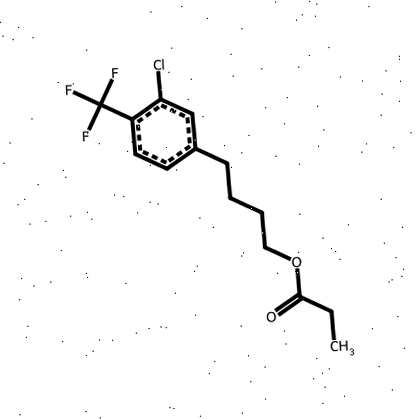 CCC(=O)OCCCCc1ccc(C(F)(F)F)c(Cl)c1